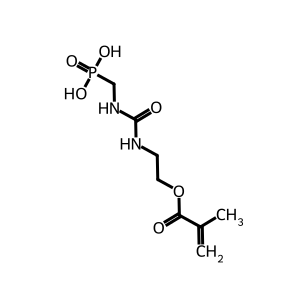 C=C(C)C(=O)OCCNC(=O)NCP(=O)(O)O